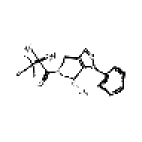 C[C@@H]1CN(C(=O)C(C)(O)C(F)(F)F)Cc2cnn(-c3ccccc3)c21